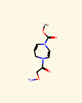 CC(C)(C)OC(=O)N1C=CCN(C(=O)CON)C=C1